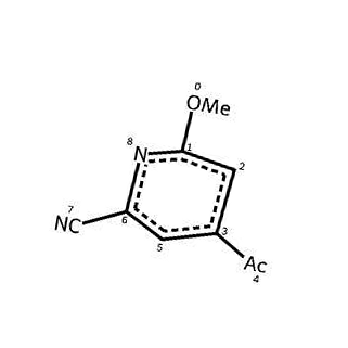 COc1cc(C(C)=O)cc(C#N)n1